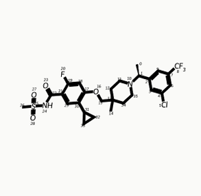 C[C@@H](c1cc(Cl)cc(C(F)(F)F)c1)N1CCC(C)(COc2cc(F)c(C(=O)NS(C)(=O)=O)cc2C2CC2)CC1